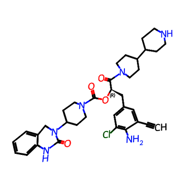 C#Cc1cc(C[C@@H](OC(=O)N2CCC(N3Cc4ccccc4NC3=O)CC2)C(=O)N2CCC(C3CCNCC3)CC2)cc(Cl)c1N